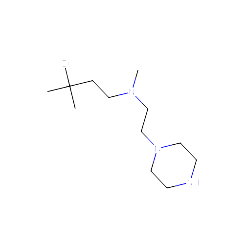 CCC(C)(C)CCN(C)CCN1CCNCC1